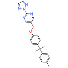 Cc1ccc(C(C)(C)c2ccc(OCc3cnc(-n4nccn4)nc3)cc2)cc1